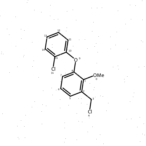 COc1c(CCl)cccc1Oc1ccccc1Cl